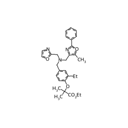 CCOC(=O)C(C)(C)Oc1ccc(CN(Cc2ncco2)Cc2nc(-c3ccccc3)oc2C)cc1CC